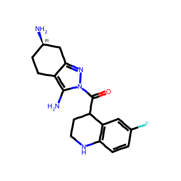 Nc1c2c(nn1C(=O)C1CCNc3ccc(F)cc31)C[C@H](N)CC2